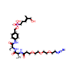 C/C(=C\CCP(=O)(O)OCc1ccc(NC(=O)[C@H](C)NC(=O)[C@@H](NC(=O)CCOCCOCCOCCN=[N+]=[N-])C(C)C)cc1)CO